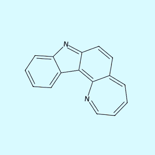 c1ccc2ccc3nc4ccccc4c3c2nc1